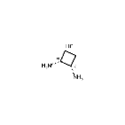 Cl.N[C@@H]1CC[C@@H]1N